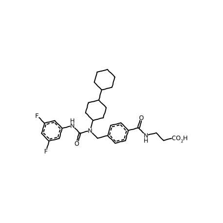 O=C(O)CCNC(=O)c1ccc(CN(C(=O)Nc2cc(F)cc(F)c2)C2CCC(C3CCCCC3)CC2)cc1